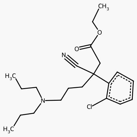 CCCN(CCC)CCCC(C#N)(CC(=O)OCC)c1ccccc1Cl